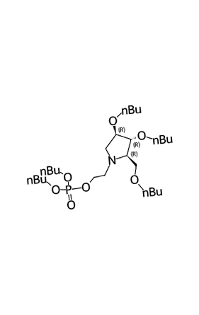 CCCCOC[C@@H]1[C@@H](OCCCC)[C@H](OCCCC)CN1CCOP(=O)(OCCCC)OCCCC